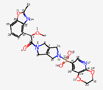 CO[C@@H](C(=O)N1CC2=C(C1)CN(S(=O)(=O)c1cnc3c(c1)OCCO3)C2)c1cccc2oc(C)nc12